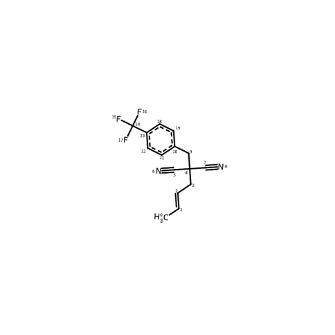 CC=CCC(C#N)(C#N)Cc1ccc(C(F)(F)F)cc1